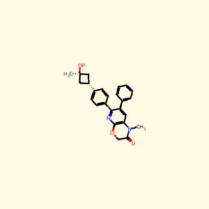 CN1C(=O)COc2nc(-c3ccc([C@H]4C[C@](C)(O)C4)cc3)c(-c3ccccc3)cc21